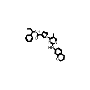 CCC(NC(=O)c1ccn(-c2nc(Nc3ccc4c(c3)OCCC4)ncc2C)c1)c1ccccc1